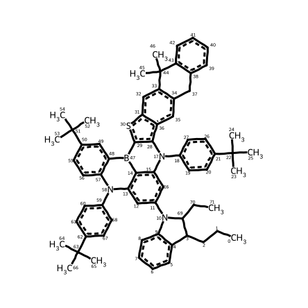 CCCC1c2ccccc2N(c2cc3c4c(c2)N(c2ccc(C(C)(C)C)cc2)c2c(sc5cc6c(cc25)Cc2ccccc2C6(C)C)B4c2cc(C(C)(C)C)ccc2N3c2ccc(C(C)(C)C)cc2)C1CC